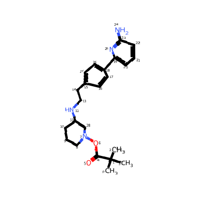 CC(C)(C)C(=O)ON1CCCC(NCCc2ccc(-c3cccc(N)n3)cc2)C1